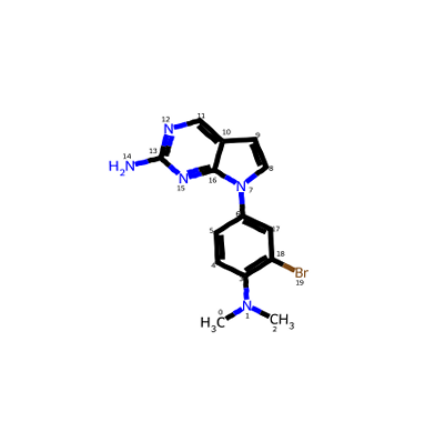 CN(C)c1ccc(-n2ccc3cnc(N)nc32)cc1Br